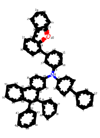 c1ccc(-c2ccc(N(c3cccc(-c4cccc5c4oc4ccccc45)c3)c3ccc4c(c3)c(-c3ccccc3)c(-c3ccccc3)c3ccccc34)cc2)cc1